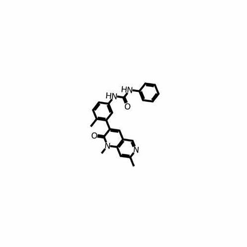 Cc1cc2c(cn1)cc(-c1cc(NC(=O)Nc3ccccc3)ccc1C)c(=O)n2C